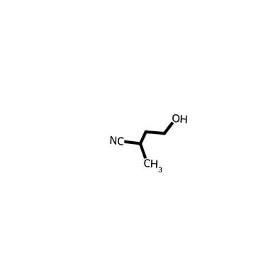 CC(C#N)CCO